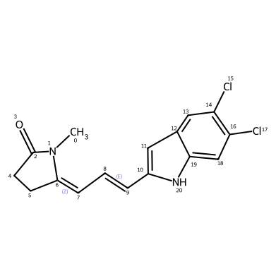 CN1C(=O)CC/C1=C/C=C/c1cc2cc(Cl)c(Cl)cc2[nH]1